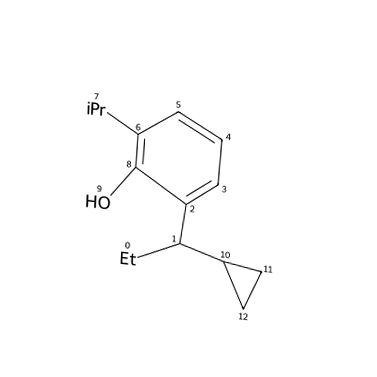 CCC(c1cccc(C(C)C)c1O)C1CC1